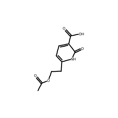 CC(=O)OCCc1ccc(C(=O)O)c(=O)[nH]1